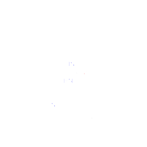 CC(C)(C)c1ccc(NC(=O)Nc2cccc(F)c2)c2cnccc12